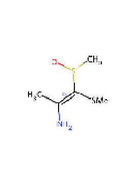 CS/C(=C(/C)N)[S+](C)[O-]